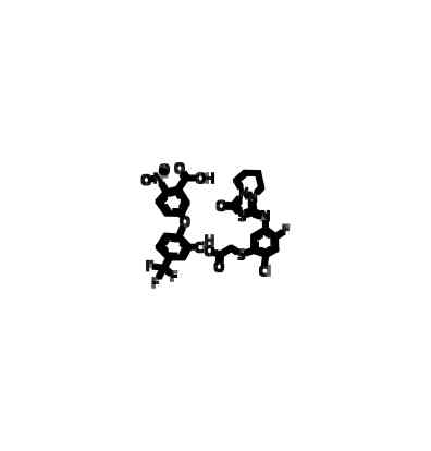 O=C(O)CSc1cc(N=c2sc(=O)n3n2CCCC3)c(F)cc1Cl.O=C(O)c1cc(Oc2ccc(C(F)(F)F)cc2Cl)ccc1[N+](=O)[O-]